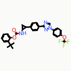 CC(C)(C)c1ccccc1OC(=O)NC1CC1c1ccc(-c2ncn(-c3ccc(OC(F)(F)F)cc3)n2)cc1